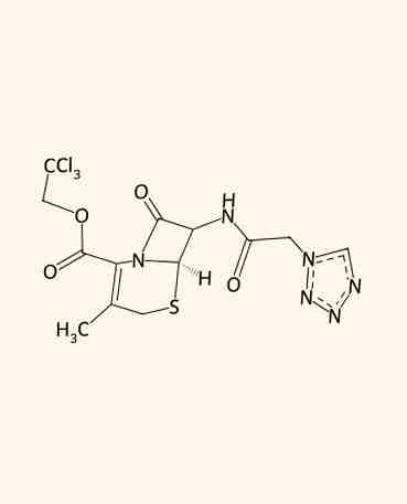 CC1=C(C(=O)OCC(Cl)(Cl)Cl)N2C(=O)C(NC(=O)Cn3cnnn3)[C@H]2SC1